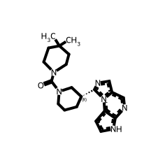 CC1(C)CCN(C(=O)N2CCC[C@@H](c3ncc4cnc5[nH]ccc5n34)C2)CC1